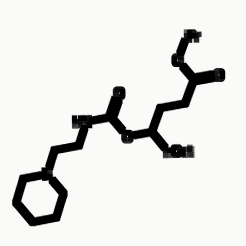 [CH2]C([CH2])OC(=O)CCC(CCCCCCCC)OC(=O)NCCN1CCCCC1